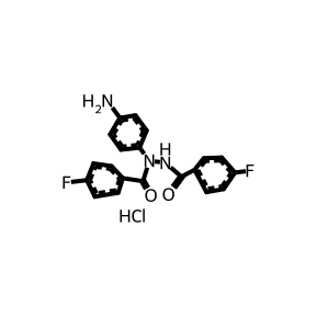 Cl.Nc1ccc(N(NC(=O)c2ccc(F)cc2)C(=O)c2ccc(F)cc2)cc1